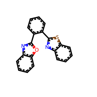 c1ccc(-c2nc3ccccc3s2)c(-c2nc3ccccc3o2)c1